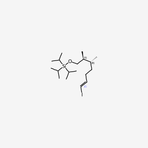 CC(C)[Si](OC[C@@H](C)[C@H](C)CC/C=C/I)(C(C)C)C(C)C